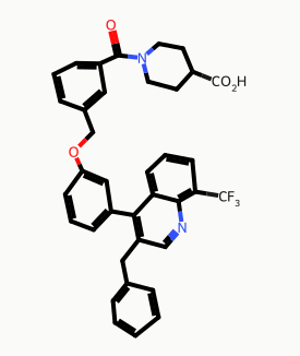 O=C(O)C1CCN(C(=O)c2cccc(COc3cccc(-c4c(Cc5ccccc5)cnc5c(C(F)(F)F)cccc45)c3)c2)CC1